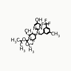 CC[C@@H]1C[C@H](N(Cc2cc(C)cc(C(F)(F)F)c2)c2ncc(O)cn2)C[C@H](CC)N1C(=O)OC(C)C